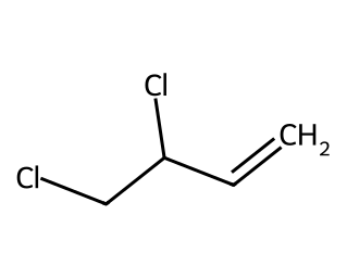 C=CC(Cl)CCl